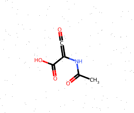 CC(=O)NC(=C=O)C(=O)O